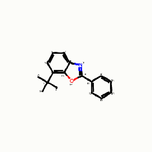 CC(C)(C)c1cccc2nc(-c3ccccc3)oc12